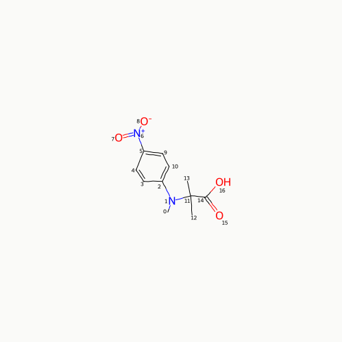 CN(c1ccc([N+](=O)[O-])cc1)C(C)(C)C(=O)O